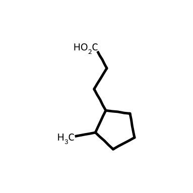 CC1CCCC1CCC(=O)O